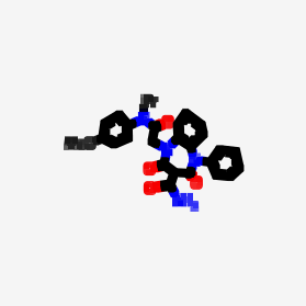 COc1ccc(N(C(=O)CN2C(=O)C(C(N)=O)C(=O)N(c3ccccc3)c3ccccc32)C(C)C)cc1